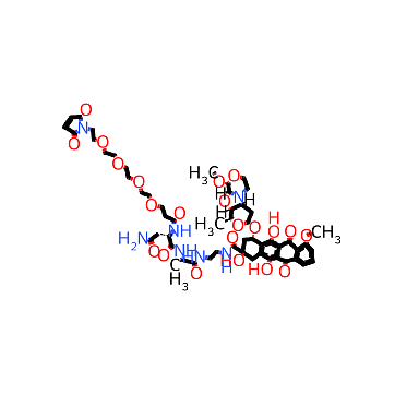 COc1cccc2c1C(=O)c1c(O)c3c(c(O)c1C2=O)CC(O)(C(=O)NCCNC(=O)[C@H](C)NC(=O)[C@H](CC(N)=O)NC(=O)CCOCCOCCOCCOCCN1C(=O)C=CC1=O)C[C@@H]3O[C@H]1C[C@H]2[C@H](O[C@@H]3[C@@H](OC)OCCN32)[C@H](C)O1